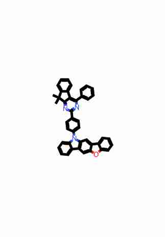 CC1(C)c2ccccc2-c2c(-c3ccccc3)nc(-c3ccc(-n4c5ccccc5c5cc6oc7ccccc7c6cc54)cc3)nc21